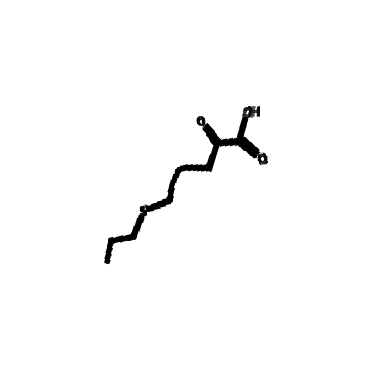 CCCSCCCC(=O)C(=O)O